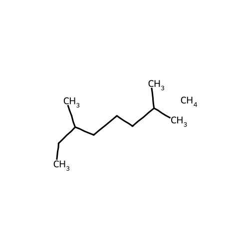 C.CCC(C)CCCC(C)C